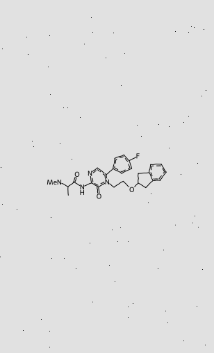 CNC(C)C(=O)Nc1ncc(-c2ccc(F)cc2)n(CCOC2Cc3ccccc3C2)c1=O